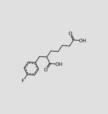 O=C(O)CCCCC(Cc1ccc(F)cc1)C(=O)O